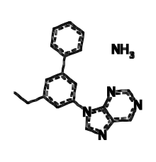 CCc1cc(-c2ccccc2)cc(-n2cnc3cncnc32)c1.N